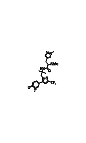 CN[C@H](Cc1cnn(C)c1)C(=O)NC(C)(C)Cn1nc(C(F)(F)F)cc1-c1ccc(=O)n(C)c1